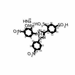 COc1cc([N+](=O)[O-])ccc1N1NC(c2ccc(S(=O)(=O)O)cc2S(=O)(=O)O)=NN1c1ccc([N+](=O)[O-])cc1.[NaH]